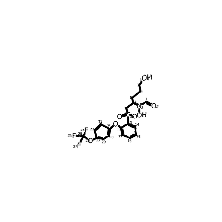 O=CN(O)C(CCCO)CS(=O)(=O)c1ccccc1Oc1ccc(OC(F)(F)F)cc1